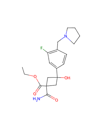 CCOC(=O)C1(C(N)=O)CC(O)(c2ccc(CN3CCCC3)c(F)c2)C1